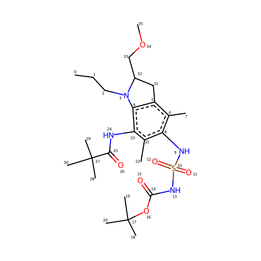 CCCN1c2c(c(C)c(NS(=O)(=O)NC(=O)OC(C)(C)C)c(C)c2NC(=O)C(C)(C)C)CC1COC